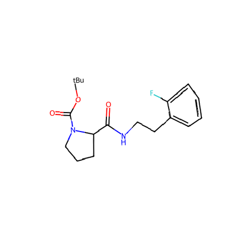 CC(C)(C)OC(=O)N1CCCC1C(=O)NCCc1ccccc1F